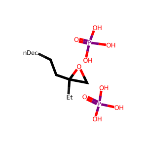 CCCCCCCCCCCCC1(CC)CO1.O=P(O)(O)O.O=P(O)(O)O